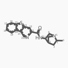 CC1CC2CN1CC2NC(=O)c1cc2sc3ccccc3c2cn1